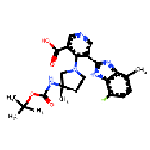 Cc1ccc(F)c2[nH]c(-c3cncc(C(=O)O)c3N3CCC(C)(NC(=O)OC(C)(C)C)C3)nc12